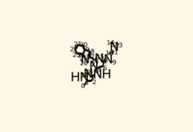 Cc1cc(Nc2cc(N(C)CCN(C)C)nc(-c3cc4ccccc4n3C)n2)n[nH]1